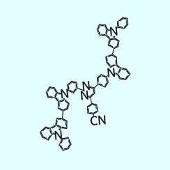 N#Cc1ccc(-c2cc(-c3ccc(-n4c5ccccc5c5cc(-c6ccc7c(c6)c6ccccc6n7-c6ccccc6)ccc54)cc3)nc(-c3cccc(-n4c5ccccc5c5cc(-c6ccc7c(c6)c6ccccc6n7-c6ccccc6)ccc54)c3)n2)cc1